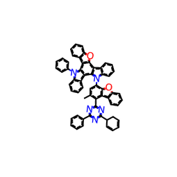 Cc1cc(-n2c3ccccc3c3c4oc5ccccc5c4c4c(c5ccccc5n4-c4ccccc4)c32)c2oc3ccccc3c2c1-c1nc(-c2ccccc2)nc(C2C=CC=CC2)n1